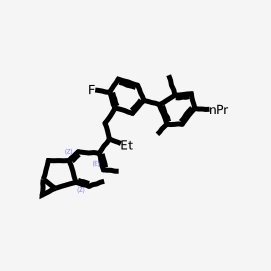 C\C=C1/C(=C\C(=C\C)C(CC)Cc2cc(-c3c(C)cc(CCC)cc3C)ccc2F)CC2CC12